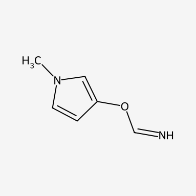 Cn1ccc(OC=N)c1